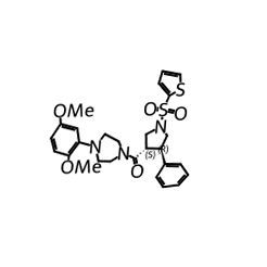 COc1ccc(OC)c(N2CCN(C(=O)[C@@H]3CN(S(=O)(=O)c4cccs4)C[C@H]3c3ccccc3)CC2)c1